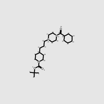 CC(C)(C)OC(=O)N1CCC(CCCN2CCN(C(=O)C3CCCCC3)CC2)CC1